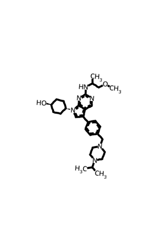 COCC(C)Nc1ncc2c(-c3ccc(CN4CCN(C(C)C)CC4)cc3)cn([C@H]3CC[C@H](O)CC3)c2n1